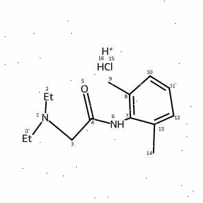 CCN(CC)CC(=O)Nc1c(C)cccc1C.Cl.[H+]